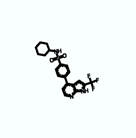 O=S(=O)(NC1CCCCC1)c1ccc(-c2ccnc3[nH]c(C(F)(F)F)cc23)cc1